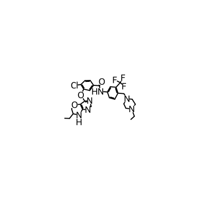 CCC1COc2c(ncnc2Oc2cc(C(=O)Nc3ccc(CN4CCN(CC)CC4)c(C(F)(F)F)c3)ccc2Cl)N1